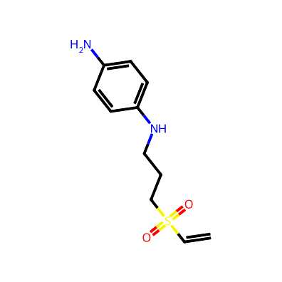 C=CS(=O)(=O)CCCNc1ccc(N)cc1